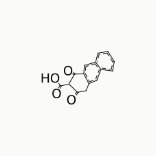 O=C(O)C1C(=O)Cc2cc3ccccc3cc2C1=O